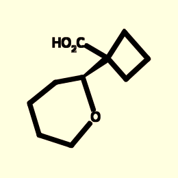 O=C(O)C1([C@@H]2CCCCO2)CCC1